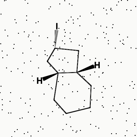 I[C@H]1C[C@H]2CCCC[C@H]2C1